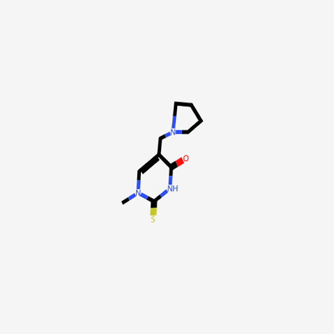 Cn1cc(CN2CCCC2)c(=O)[nH]c1=S